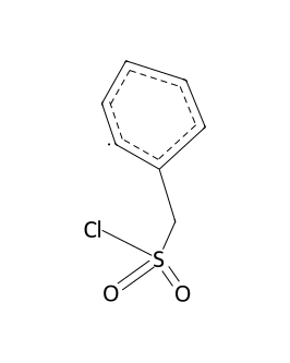 O=S(=O)(Cl)Cc1[c]cccc1